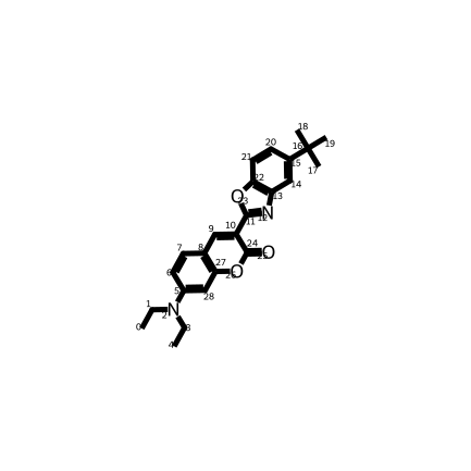 CCN(CC)c1ccc2cc(-c3nc4cc(C(C)(C)C)ccc4o3)c(=O)oc2c1